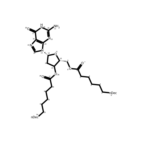 CCCCCCCCCCCCCCCC(=O)OC[C@H]1O[C@@H](n2cnc3c(=O)[nH]c(N)nc32)CC1OC(=O)CCCCCCCCCCCCCCC